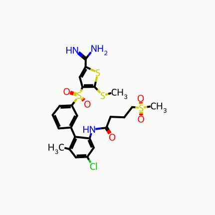 CSc1sc(C(=N)N)cc1S(=O)(=O)c1cccc(-c2c(C)cc(Cl)cc2NC(=O)CCCS(C)(=O)=O)c1